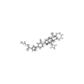 CCOC(=O)c1cnn(-c2ccc(-c3cc4nc(C(=O)N5CCCCC[C@H]5C)cc(C5CCC5)n4n3)c(F)c2)c1